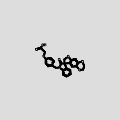 O=C(O)COc1ccc(CN2C(=O)C3(COc4cc5c(cc43)OCCO5)c3ccccc32)cc1